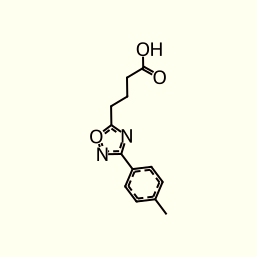 Cc1ccc(-c2noc(CCCC(=O)O)n2)cc1